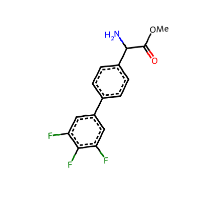 COC(=O)C(N)c1ccc(-c2cc(F)c(F)c(F)c2)cc1